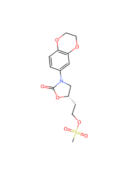 CS(=O)(=O)OCC[C@H]1CN(c2ccc3c(c2)OCCO3)C(=O)O1